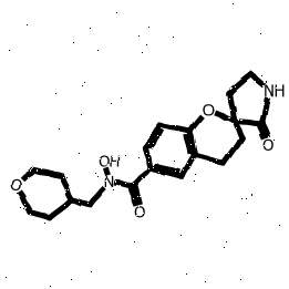 O=C(c1ccc2c(c1)CCC1(CCNC1=O)O2)N(O)CC1CCOCC1